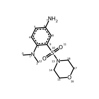 CN(C)c1ccc(N)cc1S(=O)(=O)N1CCOCC1